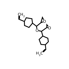 C=CC1CCC(C(OC(C2CCC(C=C)CC2)C2CO2)C2CO2)CC1